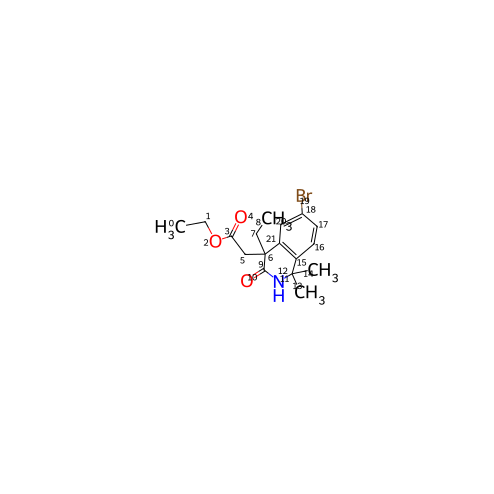 CCOC(=O)CC1(CC)C(=O)NC(C)(C)c2ccc(Br)cc21